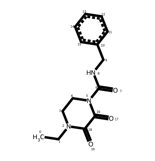 CCN1CCN(C(=O)NCc2ccccc2)C(=O)C1=O